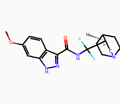 COc1ccc2c(C(=O)NC(F)(F)[C@@H]3CN4CCC3CC4)n[nH]c2c1